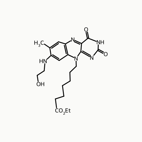 CCOC(=O)CCCCCCn1c2nc(=O)[nH]c(=O)c-2nc2cc(C)c(NCCO)cc21